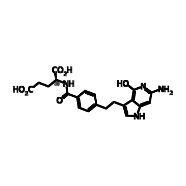 Nc1cc2[nH]cc(CCc3ccc(C(=O)N[C@@H](CCC(=O)O)C(=O)O)cc3)c2c(O)n1